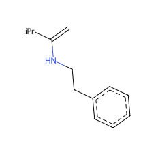 C=C(NCCc1ccccc1)C(C)C